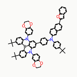 CC(C)(C)c1ccc(N(c2ccc(-c3cc4c5c(c3)N(c3ccc6c(c3)OCCO6)c3ccc(C(C)(C)C)cc3B5c3cc(C(C)(C)C)ccc3N4c3ccc4c(c3)OCCO4)cc2)c2ccc3cc(-c4cc5ccccc5o4)ccc3c2)cc1